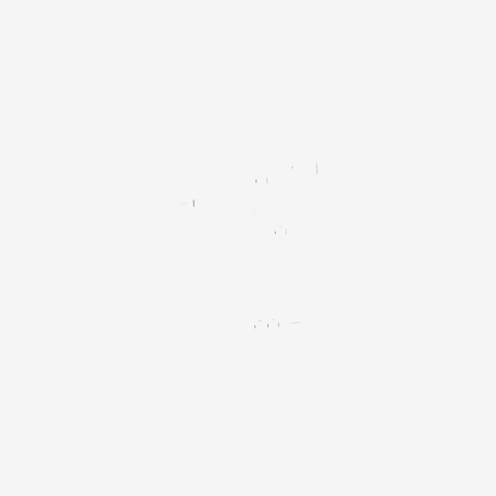 CCC(CCCC(=O)O)C(=O)O[SiH3]